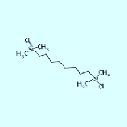 C[Si](C)(Cl)CCCCCCCC[Si](C)(C)Cl